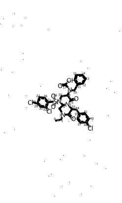 CCN1CC2N(C(=O)C(N(Cc3ccccc3)C(=O)O)CN2S(=O)(=O)c2ccc(Cl)cc2Cl)C(Cc2ccc(Cl)cc2)C1=O